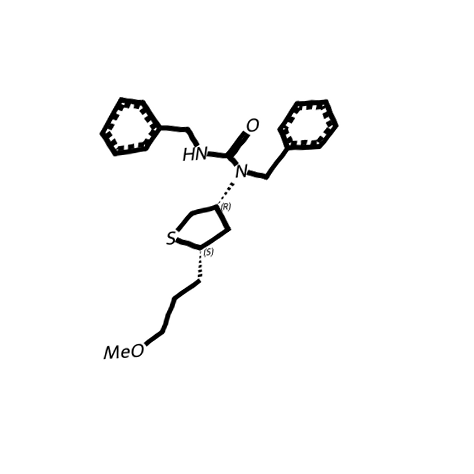 COCCC[C@H]1C[C@@H](N(Cc2ccccc2)C(=O)NCc2ccccc2)CS1